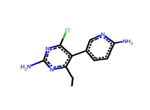 CCc1nc(N)nc(Cl)c1-c1ccc(N)nc1